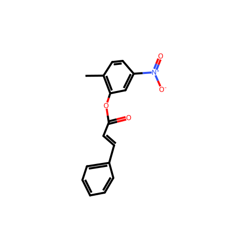 Cc1ccc([N+](=O)[O-])cc1OC(=O)/C=C/c1ccccc1